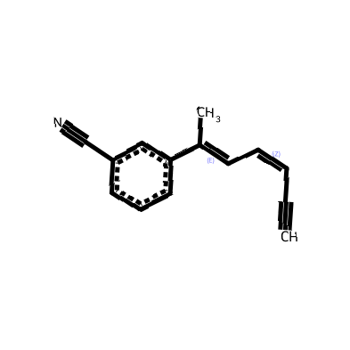 C#C/C=C\C=C(/C)c1cccc(C#N)c1